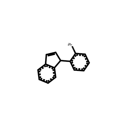 CC(C)c1ccccc1C1C=Cc2ccccc21